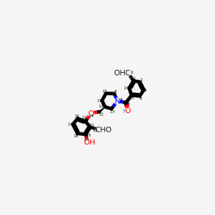 O=Cc1cccc(C(=O)N2CCC[C@H](COc3cccc(O)c3C=O)C2)c1